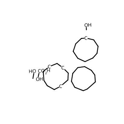 C1CCCCCCCCC1.C1CCCCCCCCC1.C1CCCCCCCCC1.CO.CO.O=C(O)O